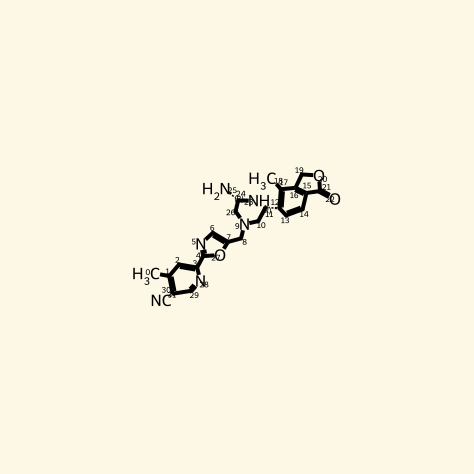 Cc1cc(-c2ncc(CN3C[C@@H](c4ccc5c(c4C)COC5=O)N[C@@H](N)C3)o2)ncc1C#N